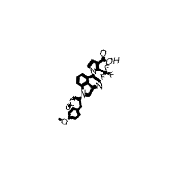 COc1ccc(CC(C=C=O)N2Cc3ncc(-n4ccc(C(=O)O)c4C(F)(F)F)c4cccc2c34)cc1